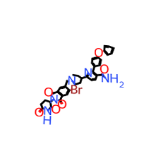 NC(=O)c1ccc(C2CCN(Cc3cc4c(cc3Br)C(=O)N(C3CCC(=O)NC3=O)C4=O)CC2)nc1-c1ccc(Oc2ccccc2)cc1